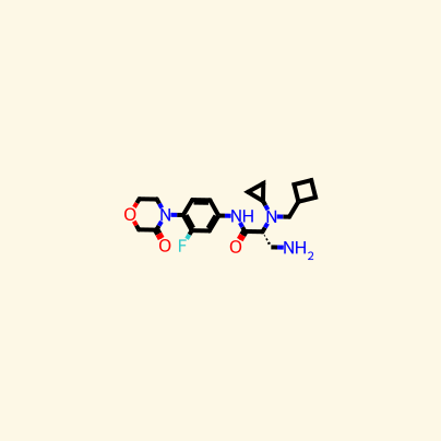 NC[C@H](C(=O)Nc1ccc(N2CCOCC2=O)c(F)c1)N(CC1CCC1)C1CC1